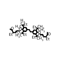 CCC(CCCOc1c(C(C)(C)CC)cc(CCc2cc(C(C)(C)CC)c(OCCCC(CC)C3CO3)c(C(C)(C)CC)c2)cc1C(C)(C)CC)C1CO1